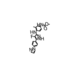 COC(=O)Nc1ccc(Nc2n[nH]c(-c3ccc(-n4cccn4)cc3)c2F)c(C)c1